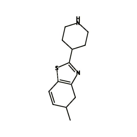 CC1C=Cc2sc(C3CCNCC3)nc2C1